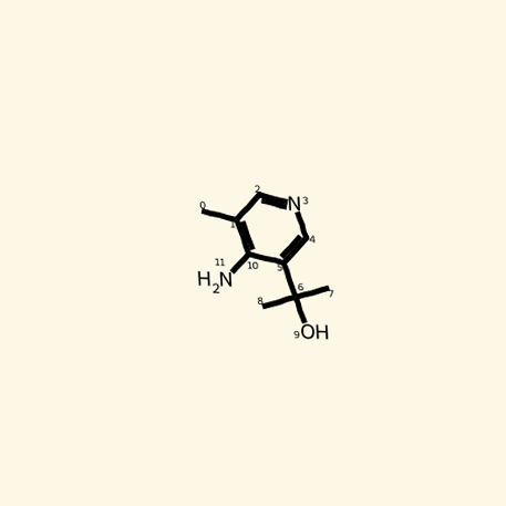 Cc1cncc(C(C)(C)O)c1N